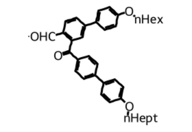 CCCCCCCOc1ccc(-c2ccc(C(=O)c3cc(-c4ccc(OCCCCCC)cc4)ccc3[C]=O)cc2)cc1